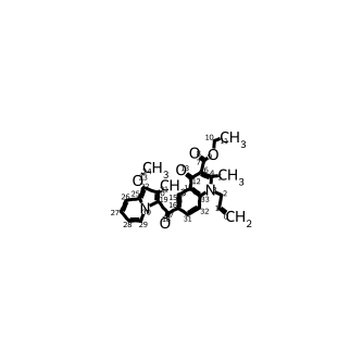 C=CCn1c(C)c(C(=O)OCC)c(=O)c2cc(C(=O)c3c(C)c(OC)c4ccccn34)ccc21